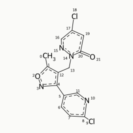 Cc1onc(-c2ccc(Cl)nc2)c1Cn1ncc(Cl)cc1=O